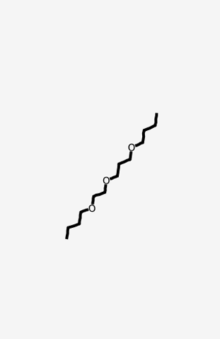 CCCCOCCCOCCOCCCC